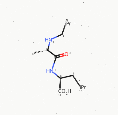 CC(C)CN[C@@H](C)C(=O)N[C@@H](CC(C)C)C(=O)O